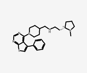 CN1CCC[C@H]1CCNCC1CCN(c2ncnc3scc(-c4ccccc4)c23)CC1